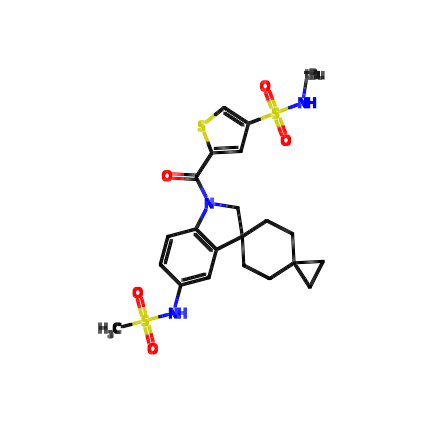 CC(C)(C)NS(=O)(=O)c1csc(C(=O)N2CC3(CCC4(CC4)CC3)c3cc(NS(C)(=O)=O)ccc32)c1